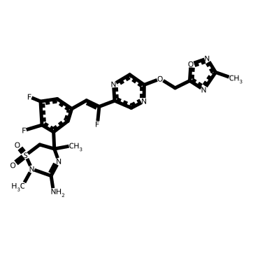 Cc1noc(COc2cnc(C(F)=Cc3cc(F)c(F)c(C4(C)CS(=O)(=O)N(C)C(N)=N4)c3)cn2)n1